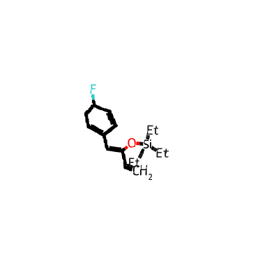 C=C/C(=C/C1=CCC(F)C=C1)O[Si](CC)(CC)CC